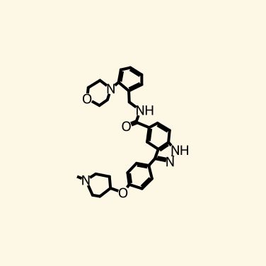 CN1CCC(Oc2ccc(-c3n[nH]c4ccc(C(=O)NCc5ccccc5N5CCOCC5)cc34)cc2)CC1